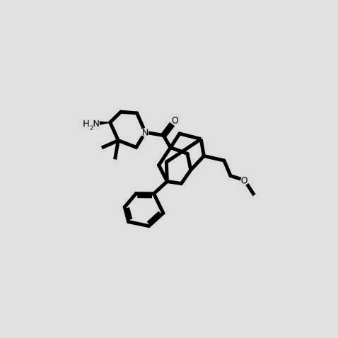 COCCC1C2CC3(C(=O)N4CC[C@H](N)C(C)(C)C4)CC1CC(c1ccccc1)(C2)C3